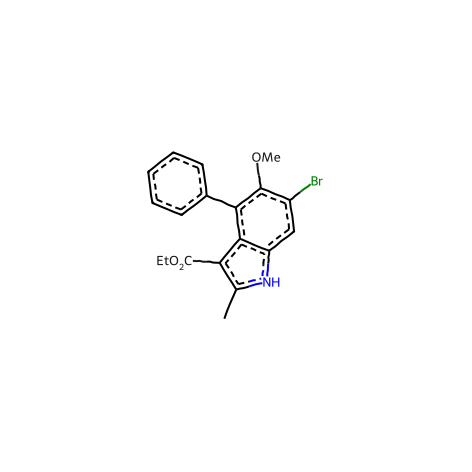 CCOC(=O)c1c(C)[nH]c2cc(Br)c(OC)c(-c3ccccc3)c12